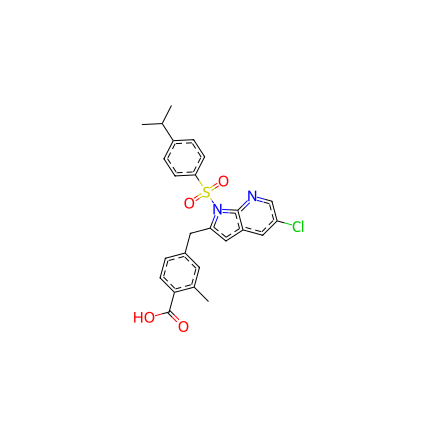 Cc1cc(Cc2cc3cc(Cl)cnc3n2S(=O)(=O)c2ccc(C(C)C)cc2)ccc1C(=O)O